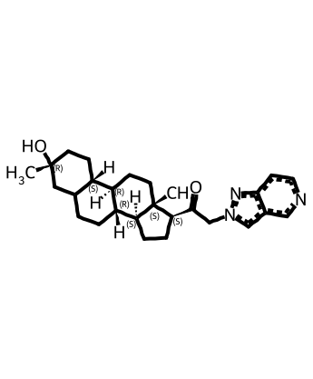 C[C@@]1(O)CC[C@H]2C(CC[C@@H]3[C@@H]2CC[C@]2(C)[C@@H](C(=O)Cn4cc5cnccc5n4)CC[C@@H]32)C1